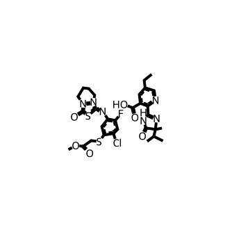 CCc1cnc(C2=NC(C)(C(C)C)C(=O)N2)c(C(=O)O)c1.COC(=O)CSc1cc(/N=c2\sc(=O)n3n2CCCC3)c(F)cc1Cl